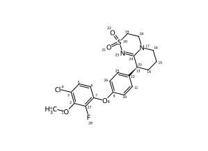 COc1c(Cl)ccc(Oc2ccc([C@@H]3CCCN4CCS(=O)(=O)N=C34)cc2)c1F